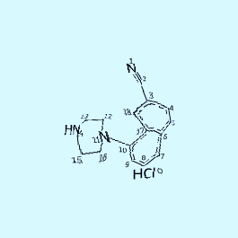 Cl.N#Cc1ccc2cccc(N3CCNCC3)c2c1